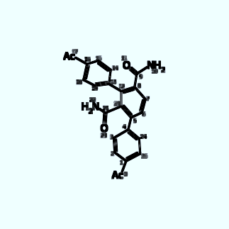 CC(=O)c1ccc(-c2ccc(C(N)=O)c(-c3ccc(C(C)=O)cc3)c2C(N)=O)cc1